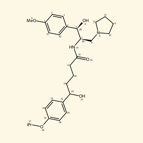 COc1ccc([C@@H](O)[C@@H](CN2CCCC2)NC(=O)CCCC(O)c2ccc(OC(C)C)cc2)cc1